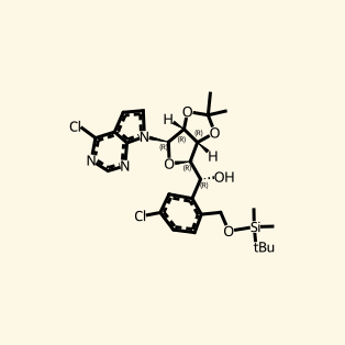 CC1(C)O[C@H]2[C@@H](O1)[C@H](n1ccc3c(Cl)ncnc31)O[C@@H]2[C@H](O)c1cc(Cl)ccc1CO[Si](C)(C)C(C)(C)C